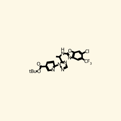 CC(Nc1nc2cc(C(F)(F)F)c(Cl)cc2o1)c1ncnn1-c1ccc(C(=O)OC(C)(C)C)cn1